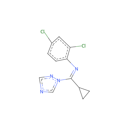 Clc1ccc(N=C(C2CC2)n2cncn2)c(Cl)c1